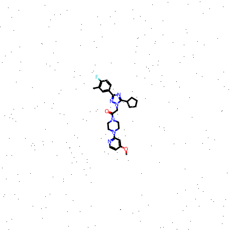 COc1ccnc(N2CCN(C(=O)Cn3nc(-c4ccc(F)c(C)c4)nc3C3CCCC3)CC2)c1